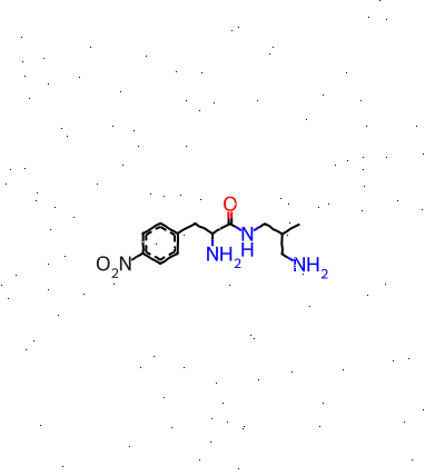 CC(CN)CNC(=O)C(N)Cc1ccc([N+](=O)[O-])cc1